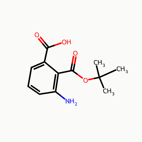 CC(C)(C)OC(=O)c1c(N)cccc1C(=O)O